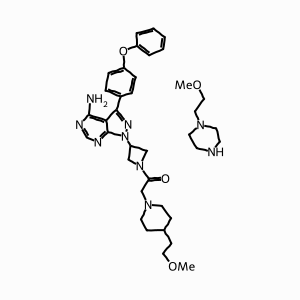 COCCC1CCN(CC(=O)N2CC(n3nc(-c4ccc(Oc5ccccc5)cc4)c4c(N)ncnc43)C2)CC1.COCCN1CCNCC1